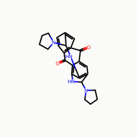 O=C1c2cc3ccc2C(=O)c2c1cc1c(c2NC1N1CCCC1)NC3N1CCCC1